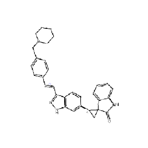 O=C1Nc2ccccc2C12C[C@H]2c1ccc2c(/C=C/c3ccc(CN4CCCCC4)cc3)n[nH]c2c1